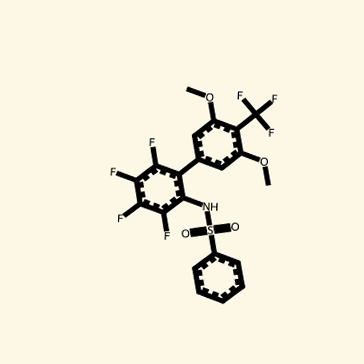 COc1cc(-c2c(F)c(F)c(F)c(F)c2NS(=O)(=O)c2ccccc2)cc(OC)c1C(F)(F)F